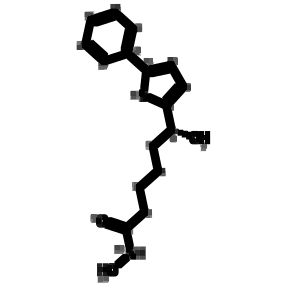 O=C(CCCC[C@@H](O)c1ccc(-c2ccccc2)s1)NO